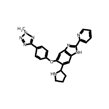 Cn1nnc(-c2ccc(Oc3cc4nc(-c5ccccn5)[nH]c4cc3C3CCCN3)cc2)n1